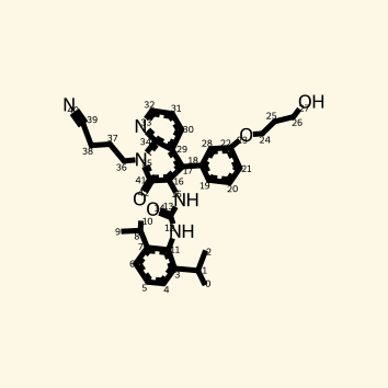 CC(C)c1cccc(C(C)C)c1NC(=O)Nc1c(-c2cccc(OCCCO)c2)c2cccnc2n(CCCC#N)c1=O